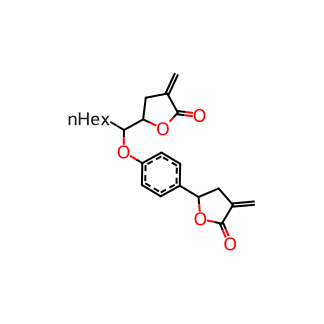 C=C1CC(c2ccc(OC(CCCCCC)C3CC(=C)C(=O)O3)cc2)OC1=O